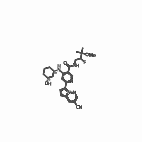 COC(C)(C)C(F)CNC(=O)c1cnc(-c2ccc3cc(C#N)cnn23)cc1N[C@H]1CCC[C@@H](O)C1